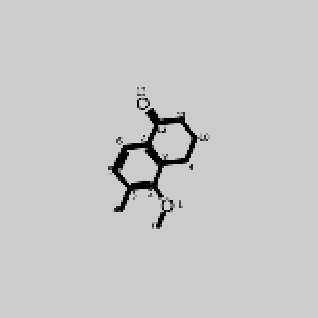 COc1c(C)ccc2c1CCCC2=O